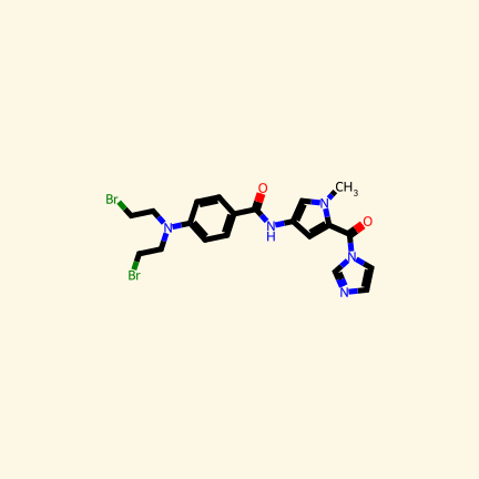 Cn1cc(NC(=O)c2ccc(N(CCBr)CCBr)cc2)cc1C(=O)n1ccnc1